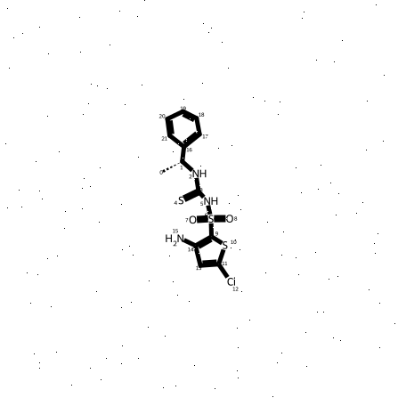 C[C@@H](NC(=S)NS(=O)(=O)c1sc(Cl)cc1N)c1ccccc1